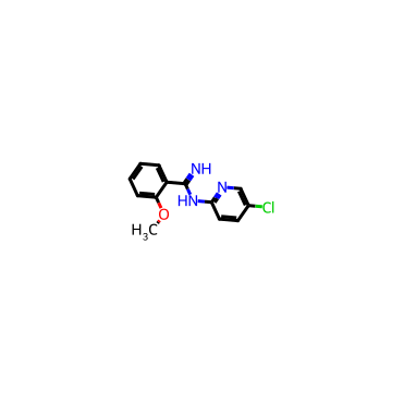 COc1ccccc1C(=N)Nc1ccc(Cl)cn1